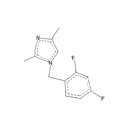 Cc1cn(Cc2ccc(F)cc2F)c(C)n1